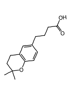 CC1(C)CCc2cc(CCCC(=O)O)ccc2O1